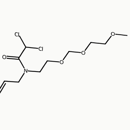 C=CCN(CCOCOCCOC)C(=O)C(Cl)Cl